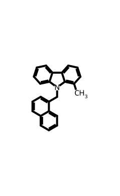 Cc1cccc2c3ccccc3n(Cc3cccc4ccccc34)c12